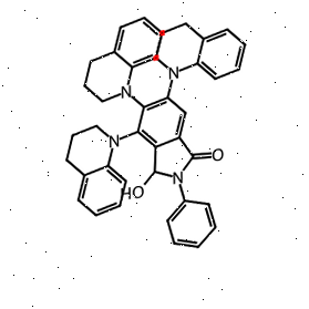 O=C1c2cc(N3CCCc4ccccc43)c(N3CCCc4ccccc43)c(N3CCCc4ccccc43)c2C(O)N1c1ccccc1